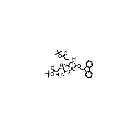 CC(C)(C)OC(=O)CC[C@H](NC(=O)[C@H](CCC(=O)OC(C)(C)C)NC(=O)OCC1c2ccccc2-c2ccccc21)C(N)=O